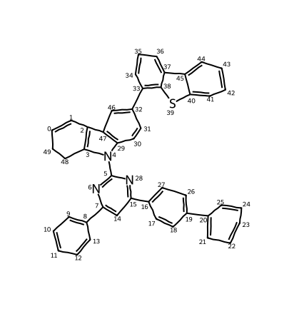 C1=Cc2c(n(-c3nc(-c4ccccc4)cc(-c4ccc(-c5ccccc5)cc4)n3)c3ccc(-c4cccc5c4sc4ccccc45)cc23)CC1